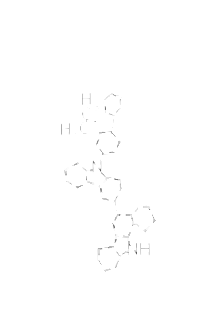 CC1(C)c2ccccc2-c2ccc(-n3c4ccccc4c4cc(-c5cc6c7ccccc7[nH]c6c6ccccc56)ccc43)cc21